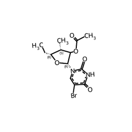 CC[C@H]1O[C@@H](n2cc(Br)c(=O)[nH]c2=O)C(OC(C)=O)[C@H]1C